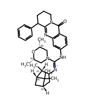 C[C@@H]1CN(/C(=N\C2C[C@@H]3C[C@H]([C@@H]2C)C3(C)C)Nc2ccc3c(=O)n4c(nc3c2)C(c2ccccc2)CCC4)C[C@H](C)O1